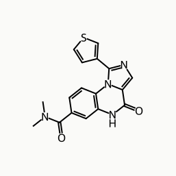 CN(C)C(=O)c1ccc2c(c1)[nH]c(=O)c1cnc(-c3ccsc3)n12